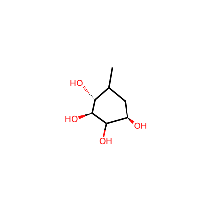 CC1C[C@@H](O)C(O)[C@@H](O)[C@@H]1O